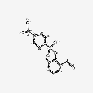 O=Cc1ccccc1OS(=O)(=O)c1ccc([N+](=O)[O-])cc1